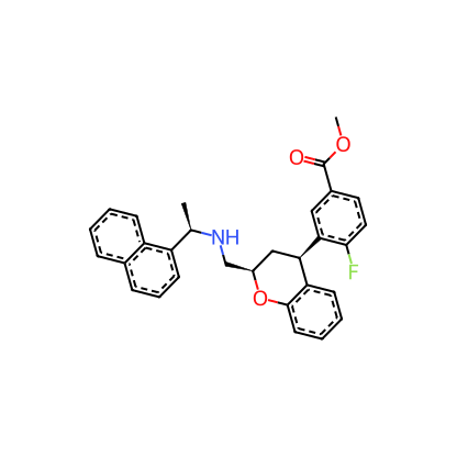 COC(=O)c1ccc(F)c([C@@H]2C[C@H](CN[C@H](C)c3cccc4ccccc34)Oc3ccccc32)c1